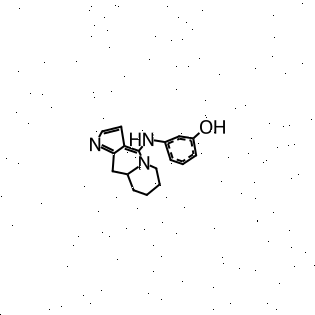 Oc1cccc(NC2=C3C=CN=C3CC3CCCCN23)c1